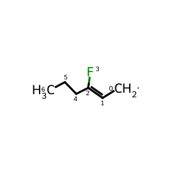 [CH2]C=C(F)CCC